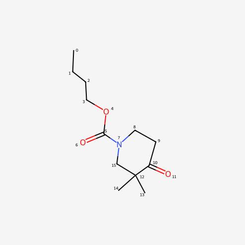 CCCCOC(=O)N1CCC(=O)C(C)(C)C1